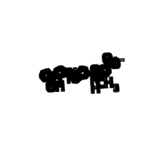 C[C@H](NC(=O)c1ccc2c(cnn2Cc2ccc(-c3ccccc3C(=O)O)cc2)c1)c1ccc([N+](=O)[O-])cc1